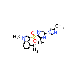 Cc1cn(-c2cnc(S(=O)(=O)c3cn(C)c4cccc(C)c34)c(C)n2)cn1